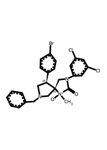 C[N+]1([O-])C(=O)N(c2cc(Cl)cc(Cl)c2)C[C@]12CN(Cc1ccccc1)C[C@H]2c1ccc(Br)cc1